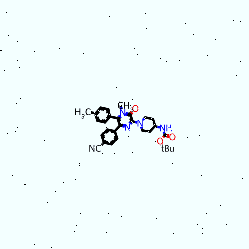 Cc1ccc(-c2c(-c3ccc(C#N)cc3)nc(N3CCC(NC(=O)OC(C)(C)C)CC3)c(=O)n2C)cc1